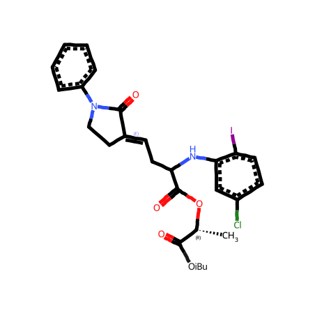 CC(C)COC(=O)[C@@H](C)OC(=O)C(C/C=C1\CCN(c2ccccc2)C1=O)Nc1cc(Cl)ccc1I